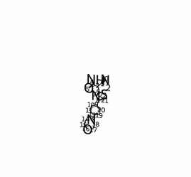 N#CC(C(N)=O)c1nc(-c2ccc(N3CCOCC3)cc2)cs1